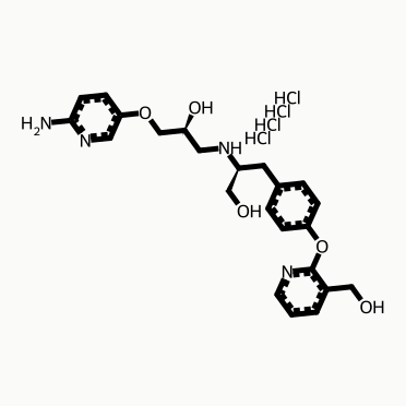 Cl.Cl.Cl.Cl.Nc1ccc(OC[C@@H](O)CN[C@H](CO)Cc2ccc(Oc3ncccc3CO)cc2)cn1